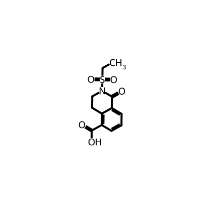 CCS(=O)(=O)N1CCc2c(C(=O)O)cccc2C1=O